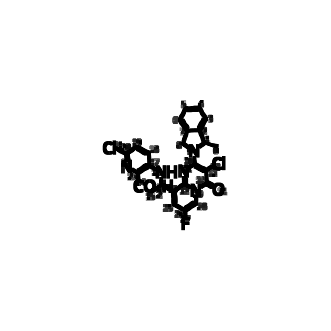 C[C@@H]1c2ccccc2CN1c1nc2c([C@@H](C)Nc3ccc(Cl)nc3C(=O)O)cc(F)cn2c(=O)c1Cl